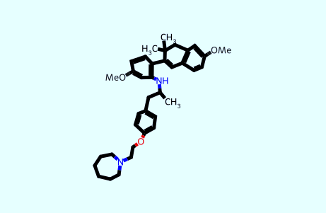 COc1ccc2c(c1)CC(C)(C)C(c1ccc(OC)cc1NC(C)Cc1ccc(OCCN3CCCCCC3)cc1)=C2